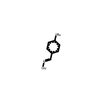 CCCCc1ccc([C]=NO)cc1